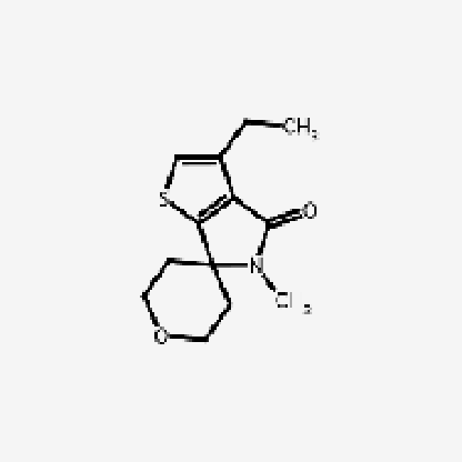 CCc1csc2c1C(=O)N(C)C21CCOCC1